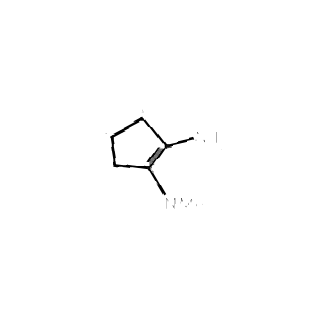 CNC1=C(N)CCC1